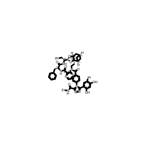 CCNC(=O)c1nnc(-c2cc(C(C)C)c(O)cc2O)n1-c1ccc(C(=O)N(C)CC[C@]23OB([C@H](CC(C)C)NC(=O)[C@H](Cc4ccccc4)NC(=O)c4cnccn4)O[C@H]2C[C@H]2C[C@@H]3C2C)cc1